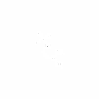 CN(C)/C=C\NS(=O)(=O)F